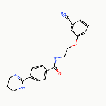 N#Cc1cccc(OCCNC(=O)c2ccc(C3=NCCCN3)cc2)c1